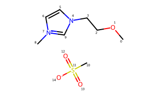 COCCn1cc[n+](C)c1.CS(=O)(=O)[O-]